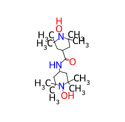 CC1(C)CC(NC(=O)C2CC(C)(C)N(O)C(C)(C)C2)CC(C)(C)N1O